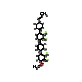 C/C=C/C1CC=C(c2ccc(-c3ccc(-c4ccc(OC)c(F)c4F)cc3)c(F)c2F)CC1